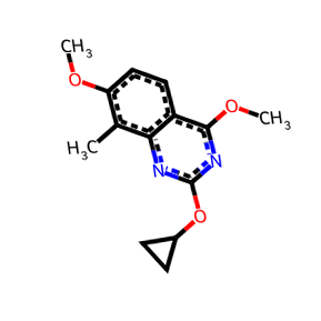 COc1ccc2c(OC)nc(OC3CC3)nc2c1C